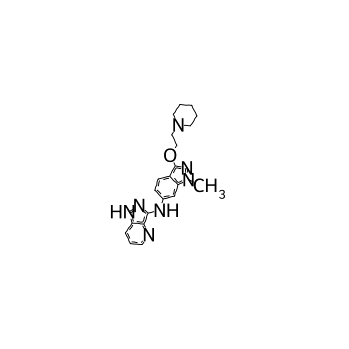 Cn1nc(OCCN2CCCCC2)c2ccc(Nc3n[nH]c4cccnc34)cc21